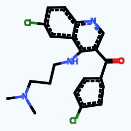 CN(C)CCCNc1c(C(=O)c2ccc(Cl)cc2)cnc2ccc(Cl)cc12